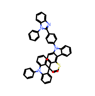 c1ccc(N2c3ccccc3C3(c4ccccc4Sc4c3ccc3c4c4ccccc4n3-c3ccc(-c4nc5ccccc5n4-c4ccccc4)cc3)c3ccccc32)cc1